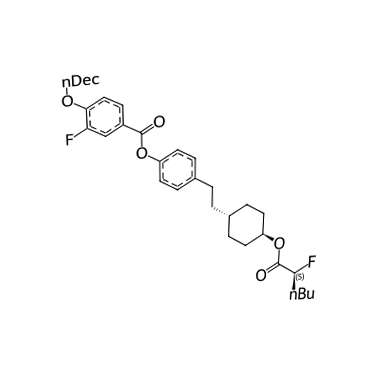 CCCCCCCCCCOc1ccc(C(=O)Oc2ccc(CC[C@H]3CC[C@H](OC(=O)[C@@H](F)CCCC)CC3)cc2)cc1F